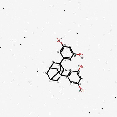 Brc1cc(Br)cc(C23CC4CC(C2)CC(c2cc(Br)cc(Br)c2)(C4)C3)c1